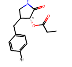 [2H]c1ccc(CC2CNC(=O)[C@@H]2OC(=O)CC)cc1